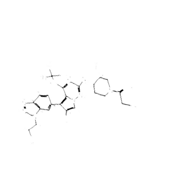 [2H]C([2H])([2H])Oc1nc(N[C@H]2CCN(C(=O)CO)C[C@H]2F)nn2cc(F)c(-c3ccc4nnn(CCF)c4c3)c12